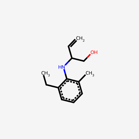 C=CC(CO)Nc1c(C)cccc1CC